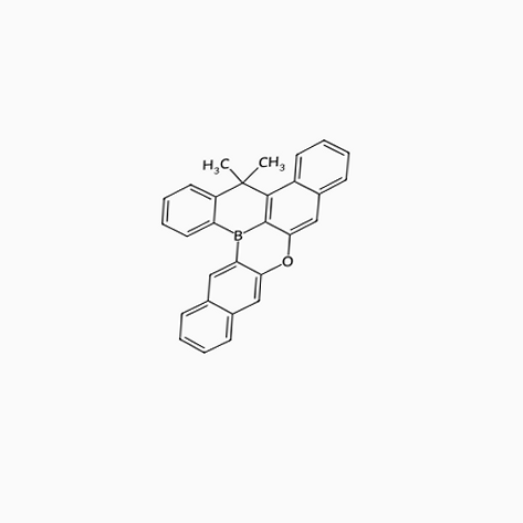 CC1(C)c2ccccc2B2c3cc4ccccc4cc3Oc3cc4ccccc4c1c32